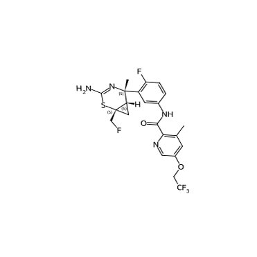 Cc1cc(OCC(F)(F)F)cnc1C(=O)Nc1ccc(F)c([C@@]2(C)N=C(N)S[C@@]3(CF)C[C@H]32)c1